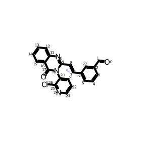 O=Cc1cccc(/C=C/c2nc3ccccc3c(=O)n2-c2cccnc2Cl)c1